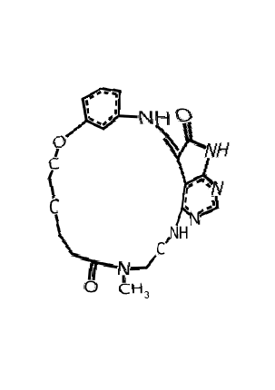 CN1CCNc2ncnc3c2/C(=C/Nc2cccc(c2)OCCCCCC1=O)C(=O)N3